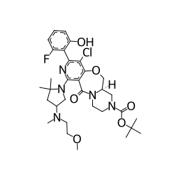 COCCN(C)C1CN(c2nc(-c3c(O)cccc3F)c(Cl)c3c2C(=O)N2CCN(C(=O)OC(C)(C)C)C[C@@H]2CO3)C(C)(C)C1